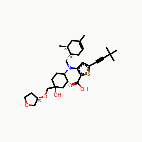 CC1=CC[C@H](CN(c2cc(C#CC(C)(C)C)sc2C(=O)O)[C@H]2CC[C@](O)(CO[C@@H]3CCOC3)CC2)[C@@H](C)C1